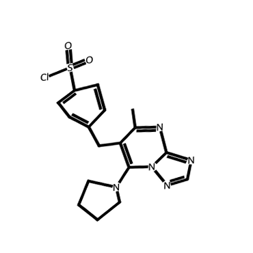 Cc1nc2ncnn2c(N2CCCC2)c1Cc1ccc(S(=O)(=O)Cl)cc1